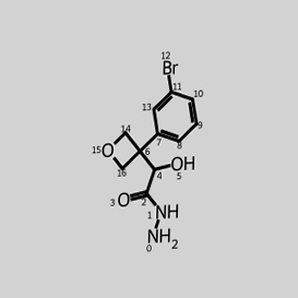 NNC(=O)C(O)C1(c2cccc(Br)c2)COC1